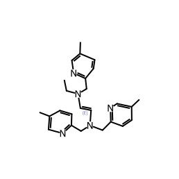 CCN(/C=C/N(Cc1ccc(C)cn1)Cc1ccc(C)cn1)Cc1ccc(C)cn1